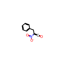 O=C=C(Cc1ccccc1)[N+](=O)[O-]